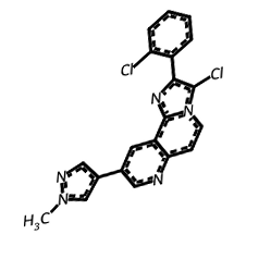 Cn1cc(-c2cnc3ccn4c(Cl)c(-c5ccccc5Cl)nc4c3c2)cn1